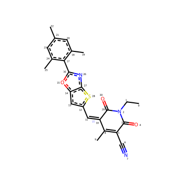 CCN1C(=O)C(C#N)=C(C)/C(=C/c2cc3oc(-c4c(C)cc(C)cc4C)nc3s2)C1=O